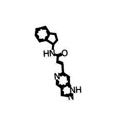 O=C(/C=C/c1cc2[nH]ncc2cn1)NC1CCc2ccccc21